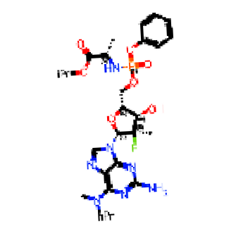 CCCN(C)c1nc(N)nc2c1ncn2[C@@H]1O[C@H](CO[P@@](=O)(N[C@@H](C)C(=O)OC(C)C)Oc2ccccc2)[C@@H](O)[C@@]1(C)F